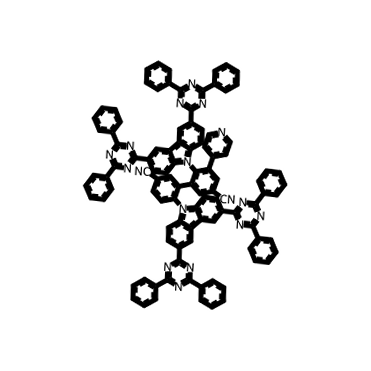 N#Cc1ccc(-n2c3ccc(-c4nc(-c5ccccc5)nc(-c5ccccc5)n4)cc3c3cc(-c4nc(-c5ccccc5)nc(-c5ccccc5)n4)ccc32)c(-c2cc(C#N)cc(-c3ccncc3)c2-n2c3ccc(-c4nc(-c5ccccc5)nc(-c5ccccc5)n4)cc3c3cc(-c4nc(-c5ccccc5)nc(-c5ccccc5)n4)ccc32)c1